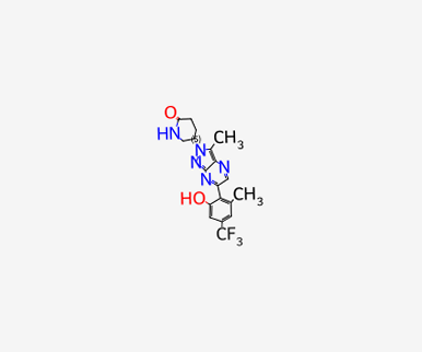 Cc1cc(C(F)(F)F)cc(O)c1-c1cnc2c(C)n([C@H]3CCC(=O)NC3)nc2n1